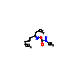 CCCCC(CC)=NOC(=O)NC